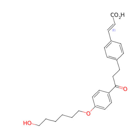 O=C(O)/C=C/c1ccc(CCC(=O)c2ccc(OCCCCCCO)cc2)cc1